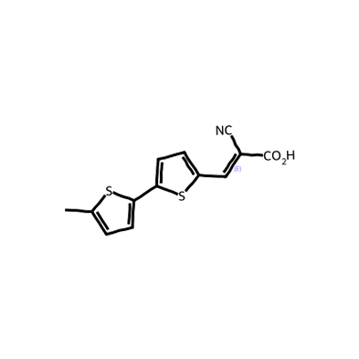 Cc1ccc(-c2ccc(/C=C(\C#N)C(=O)O)s2)s1